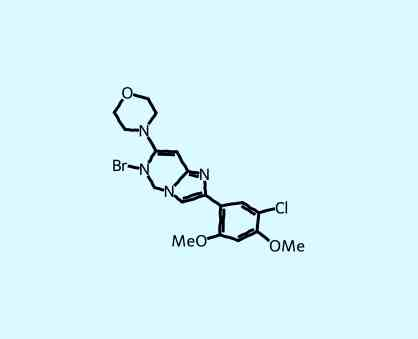 COc1cc(OC)c(-c2cn3c(n2)C=C(N2CCOCC2)N(Br)C3)cc1Cl